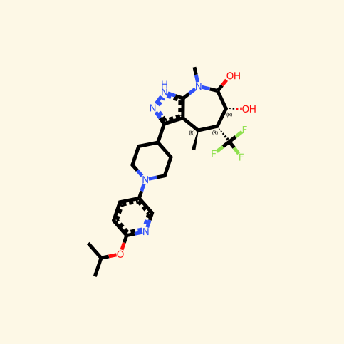 CC(C)Oc1ccc(N2CCC(c3n[nH]c4c3[C@H](C)[C@@H](C(F)(F)F)[C@@H](O)C(O)N4C)CC2)cn1